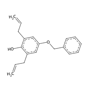 C=CCc1cc(OCc2ccccc2)cc(CC=C)c1O